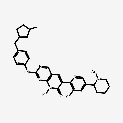 CC(=O)N1CCCCC1c1cnc(-c2cc3cnc(Nc4ccc(CC5CCC(C)C5)cc4)nc3n(C(C)C)c2=O)c(Cl)c1